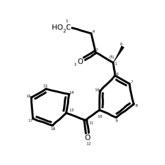 C[C@H](C(=O)CC(=O)O)c1cccc(C(=O)c2ccccc2)c1